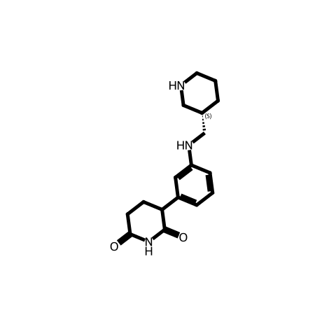 O=C1CCC(c2cccc(NC[C@H]3CCCNC3)c2)C(=O)N1